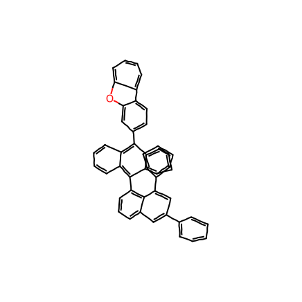 c1ccc(-c2cc(-c3ccccc3)c3c(-c4c5ccccc5c(-c5ccc6c(c5)oc5ccccc56)c5ccccc45)cccc3c2)cc1